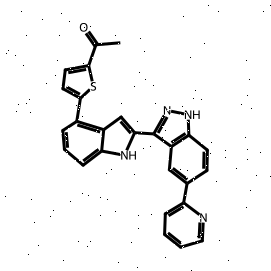 CC(=O)c1ccc(-c2cccc3[nH]c(-c4n[nH]c5ccc(-c6ccccn6)cc45)cc23)s1